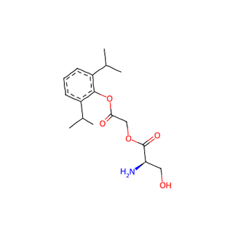 CC(C)c1cccc(C(C)C)c1OC(=O)COC(=O)[C@H](N)CO